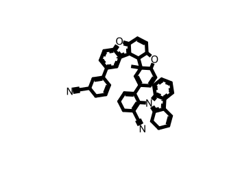 CC12C=C(C3=CCCC(C#N)=C3n3c4c(c5ccccc53)C=CCC4)C=CC1OC1C=Cc3oc4ccc(C5=CC(C#N)CC=C5)cc4c3C12